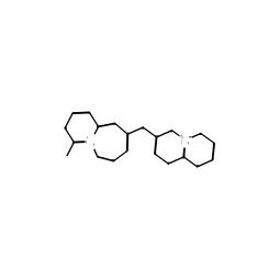 CC1CCCC2CC(CC3CCC4CCCCN4C3)CCCN12